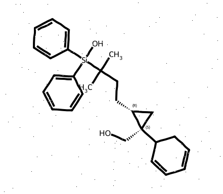 CC(C)(CC[C@@H]1C[C@@]1(CO)C1C=CC=CC1)[Si](O)(c1ccccc1)c1ccccc1